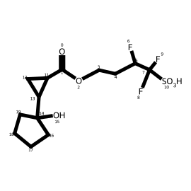 O=C(OCCC(F)C(F)(F)S(=O)(=O)O)C1CC1C1(O)CCCC1